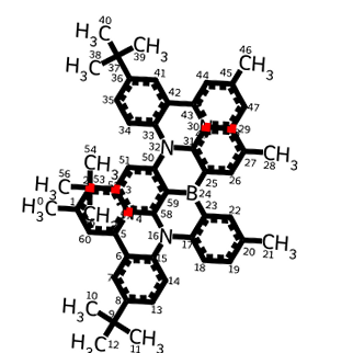 Cc1ccnc(-c2cc(C(C)(C)C)ccc2N2c3ccc(C)cc3B3c4cc(C)ccc4N(c4ccc(C(C)(C)C)cc4-c4cc(C)ccn4)c4cc(C(C)(C)C)cc2c43)c1